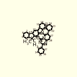 CC1(C)c2ccccc2-c2cc3c4ccccc4n(-c4c(-c5ccccc5)ccc5nc(-c6ccccc6)nc(=O)n45)c3cc21